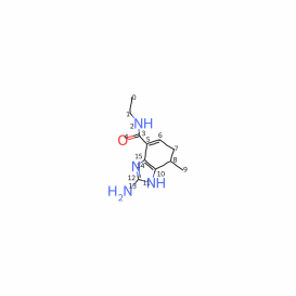 CCNC(=O)C1=CCC(C)c2[nH]c(N)nc21